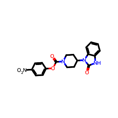 O=C(Oc1ccc([N+](=O)[O-])cc1)N1CCC(n2c(=O)[nH]c3ccccc32)CC1